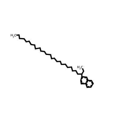 CCCCCCCCCCCCCCCCCCCCCCCCCC(CC)c1ccc2ccccc2c1